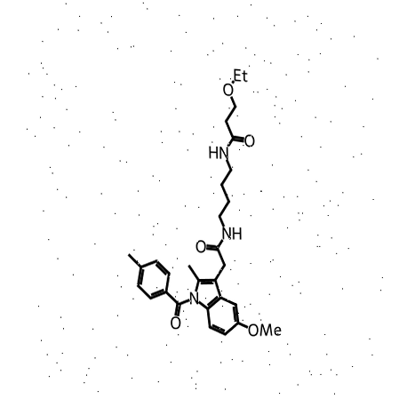 CCOCCC(=O)NCCCCNC(=O)Cc1c(C)n(C(=O)c2ccc(C)cc2)c2ccc(OC)cc12